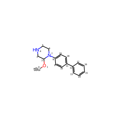 CC(C)(C)OC1CNCCN1c1ccc(-c2c[c]ccc2)cc1